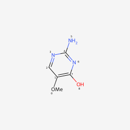 COc1cnc(N)nc1O